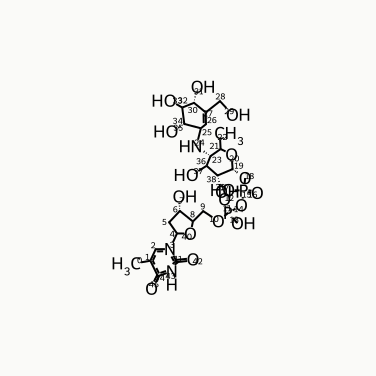 Cc1cn(C2C[C@H](O)C(COP(=O)(O)OP(=O)(O)O[C@H]3OC(C)[C@@H](NC4C=C(CO)[C@@H](O)C(O)[C@H]4O)C(O)[C@H]3O)O2)c(=O)[nH]c1=O